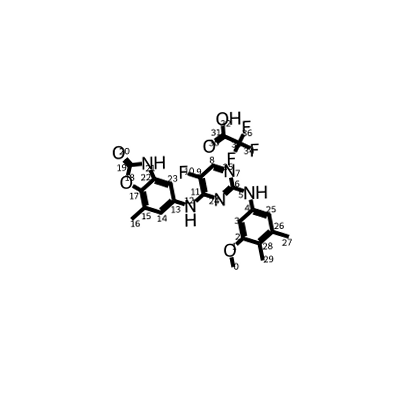 COc1cc(Nc2ncc(F)c(Nc3cc(C)c4oc(=O)[nH]c4c3)n2)cc(C)c1C.O=C(O)C(F)(F)F